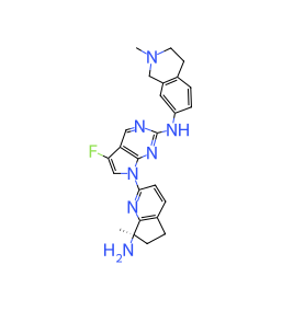 CN1CCc2ccc(Nc3ncc4c(F)cn(-c5ccc6c(n5)[C@](C)(N)CC6)c4n3)cc2C1